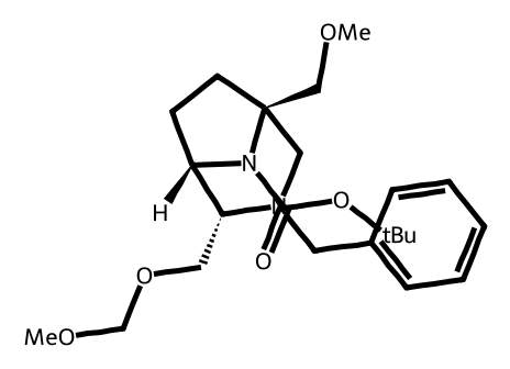 COCOC[C@@H]1[C@@H]2CC[C@](COC)(CN1Cc1ccccc1)N2C(=O)OC(C)(C)C